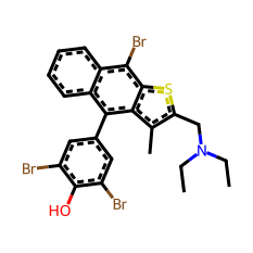 CCN(CC)Cc1sc2c(Br)c3ccccc3c(-c3cc(Br)c(O)c(Br)c3)c2c1C